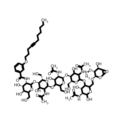 CCCCCCC#CCCCOc1cccc(C(=O)N[C@@H]2C(O[C@H]3C(O)C(NC(C)=O)[C@H](OC4C(CO)O[C@@H](O[C@H]5C(O)C(NC(C)=O)C(OC6C(CO[C@@H]7OC8OC8[C@H](O)[C@H]7OC)OC(O)[C@@H](NC(C)=O)[C@@H]6O)O[C@H]5CO)[C@@H](NC(C)=O)[C@@H]4O)O[C@H]3CO)OC(CO)[C@@H](O)[C@@H]2O)c1